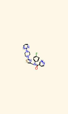 O=C(c1ccnnc1)N(Cc1csc(N2CCN(c3ncccn3)CC2)n1)c1ccc(F)cc1